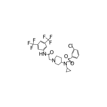 O=C(CN1CCC(N(C2CC2)S(=O)(=O)c2cccc(Cl)c2)CC1)Nc1cc(C(F)(F)F)cc(C(F)(F)F)c1